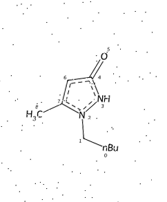 CCCCCn1[nH]c(=O)cc1C